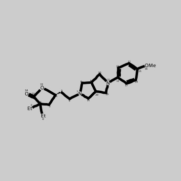 CCC1(CC)C[C@@H](CCN2CC3CN(c4ccc(OC)cc4)CC3C2)OC1=O